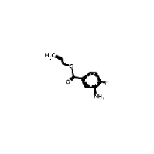 C=CCOC(=O)c1ccc(F)c(N)c1